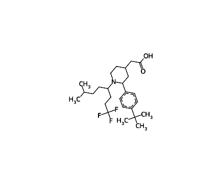 CC(C)CCC(CCC(F)(F)F)N1CCC(CC(=O)O)CC1c1ccc(C(C)(C)C)cc1